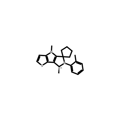 Cc1ccccc1N1[C@@H](C)c2c(n(C)c3ccsc23)C12CCCC2